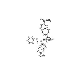 COC(=O)C[C@@H]1C[C@@H](CNC(=O)N2CCc3ccc(C(=N)N)cc3CC2)N(CCCc2ccccc2)C1=O.Cl